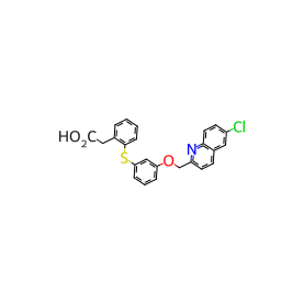 O=C(O)Cc1ccccc1Sc1cccc(OCc2ccc3cc(Cl)ccc3n2)c1